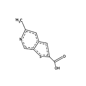 Cc1cc2cc(C(=O)O)sc2cn1